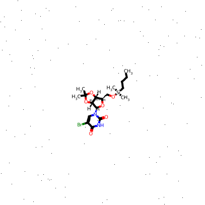 CCCC[Si](C)(C)OC[C@H]1O[C@@H](n2cc(Br)c(=O)[nH]c2=O)[C@@H]2OC(C)(C)O[C@@H]21